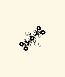 CCOc1c2c(c(OCC)c3c1SC(=C1C(=O)N(c4ccccc4)N(c4ccccc4)C1=O)S3)SC(=C1C(=O)N(c3ccccc3)N(c3ccccc3)C1=O)S2